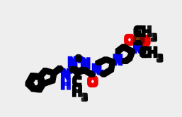 Cc1c(NCC2Cc3ccccc3C2)ncnc1C(=O)N1CCC(N2CCC(N(C)S(C)(=O)=O)CC2)CC1